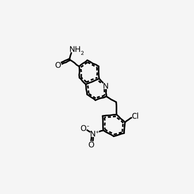 NC(=O)c1ccc2nc(Cc3cc([N+](=O)[O-])ccc3Cl)ccc2c1